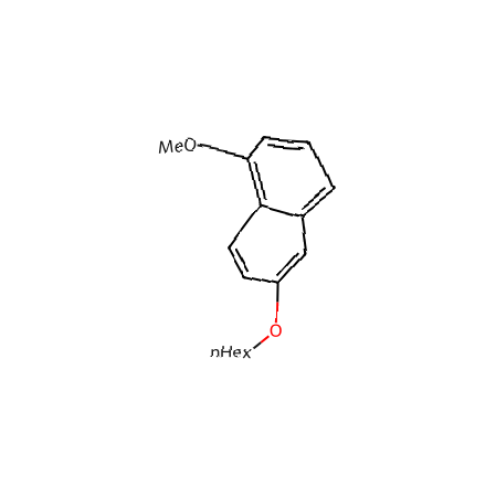 [CH2]Oc1cccc2cc(OCCCCCC)ccc12